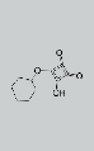 O=c1c(O)c(OC2CCCCC2)c1=O